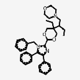 CCC(CN1CCOCC1)C1(CC)COC(c2nc(-c3ccccc3)c(-c3ccccc3)n2Cc2ccccc2)OC1